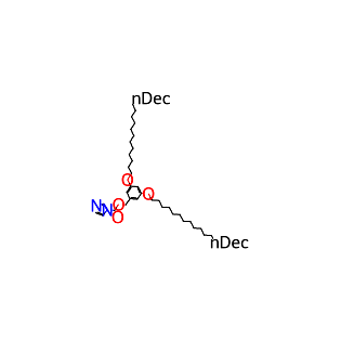 CCCCCCCCCCCCCCCCCCCCCCOc1cc(COC(=O)n2ccnc2)cc(OCCCCCCCCCCCCCCCCCCCCCC)c1